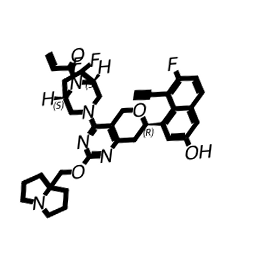 C#Cc1c(F)ccc2cc(O)cc([C@H]3Cc4nc(OCC56CCCN5CCC6)nc(N5C[C@@H]6CC(F)(F)[C@H](C5)N6C(=O)C=C)c4CO3)c12